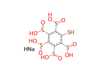 O=S(O)c1c(S)c(S(=O)O)c(S(=O)O)c(S(=O)O)c1S(=O)O.[NaH]